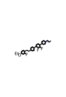 C/C=C/c1ccc(-c2ccc(-c3ccc(CCc4ccc(OCC)cc4F)cc3)c(F)c2F)cc1